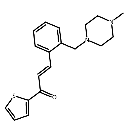 CN1CCN(Cc2ccccc2C=CC(=O)c2cccs2)CC1